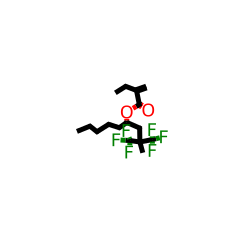 C=C(CC)C(=O)OC(CCCCC)CC(C)(C(F)(F)F)C(F)(F)F